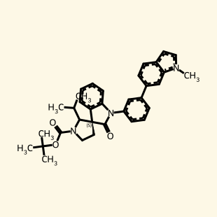 CC(C)C1N(C(=O)OC(C)(C)C)CC[C@@]12C(=O)N(c1cccc(-c3ccc4ccn(C)c4c3)c1)c1ccccc12